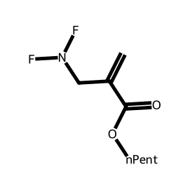 C=C(CN(F)F)C(=O)OCCCCC